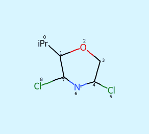 CC(C)C1OCC(Cl)[N]C1Cl